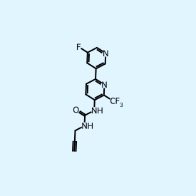 C#CCNC(=O)Nc1ccc(-c2cncc(F)c2)nc1C(F)(F)F